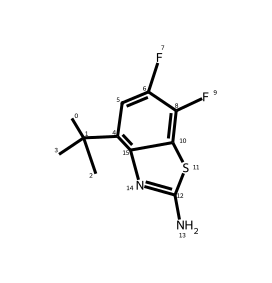 CC(C)(C)c1cc(F)c(F)c2sc(N)nc12